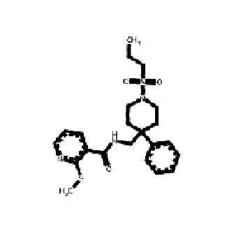 CCCS(=O)(=O)N1CCC(CNC(=O)c2cccnc2SC)(c2ccccc2)CC1